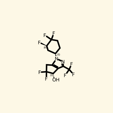 O[C@H]1c2c(C(F)(F)F)nn([C@H]3CCC(F)(F)[C@H](F)C3)c2CC1(F)F